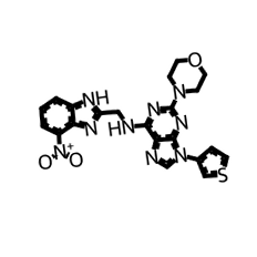 O=[N+]([O-])c1cccc2[nH]c(CNc3nc(N4CCOCC4)nc4c3ncn4-c3ccsc3)nc12